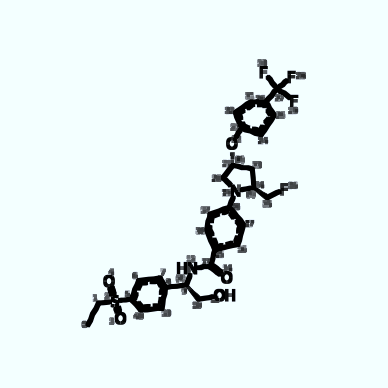 CCS(=O)(=O)c1ccc([C@H](CO)NC(=O)c2ccc(N3C[C@H](Oc4ccc(C(F)(F)F)cc4)C[C@H]3CF)cc2)cc1